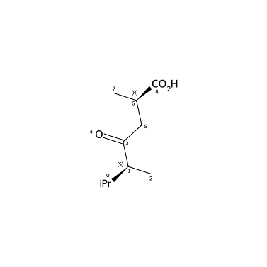 CC(C)[C@H](C)C(=O)C[C@@H](C)C(=O)O